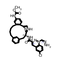 COC(=O)Nc1ccc2c(c1)CCCCc1cccc(c1)C[C@H](NC(=O)/C=C/c1cc(Cl)ccc1N(N)/C=N\N)c1nc-2c[nH]1